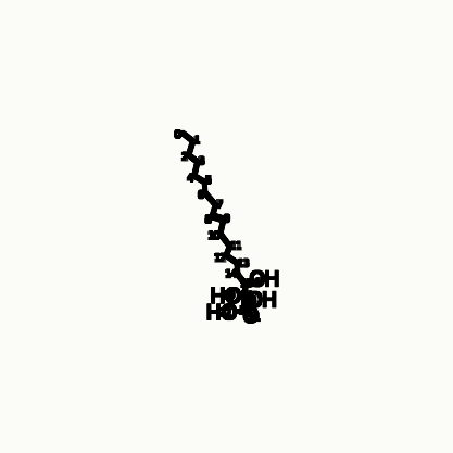 CCCCCCCCC=CCCCCCC(O)C(O)(O)C(=O)O